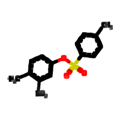 [CH2]c1ccc(OS(=O)(=O)c2ccc(C)cc2)cc1[N+](=O)[O-]